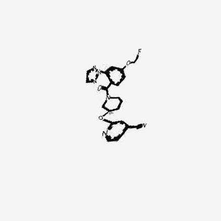 N#Cc1ccnc(O[C@@H]2CCCN(C(=O)c3ccc(OCF)cc3-n3nccn3)C2)c1